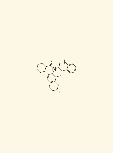 C=C(C1CCCCC1)N(c1ccc2c(c1C)C[C@H](C)CC2)[C@@H](C)Cc1ccccc1I